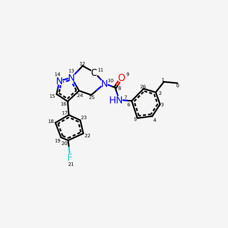 CCc1cccc(NC(=O)N2CCn3ncc(-c4ccc(F)cc4)c3C2)c1